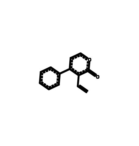 C=Cc1c(-c2ccccc2)ccoc1=O